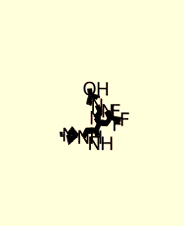 CN1CC(N/C=C(\C=N)c2cc(C(F)(F)F)nc(N3CC(O)C3)n2)C1